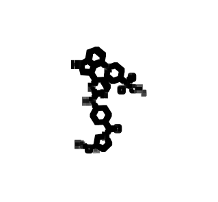 CCO[C@@H]1CCN(C(=O)C2CCC(Nc3nccc(-c4c[nH]c5cccc(N6CCC(S(C)(=O)=O)CC6)c45)n3)CC2)C1